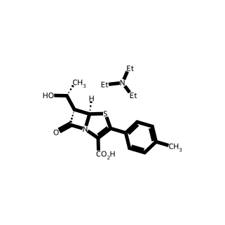 CCN(CC)CC.Cc1ccc(C2=C(C(=O)O)N3C(=O)[C@H]([C@@H](C)O)[C@H]3S2)cc1